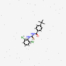 CC(C)(C)c1ccc(C(=O)NC(=S)Nc2c(Br)cccc2Br)cc1